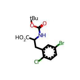 CC(C)(C)OC(=O)NC(Cc1cc(Br)ccc1Cl)C(=O)O